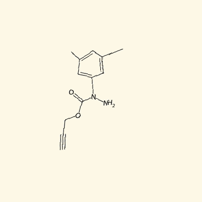 C#CCOC(=O)N(N)c1cc(C)cc(C)c1